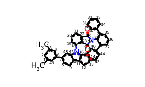 Cc1cc(C)cc(-c2ccc3c4ccccc4n(-c4cccc5c4C(=O)N(c4c(-c6ccccc6)cccc4-c4ccccc4)C5=O)c3c2)c1